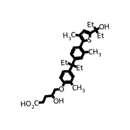 CCC(O)(CC)c1cc(C)c(-c2ccc(C(CC)(CC)c3ccc(OCC(O)CCC(=O)O)c(C)c3)cc2C)s1